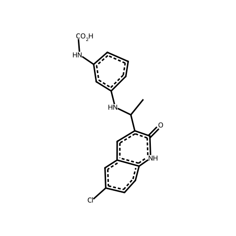 CC(Nc1cccc(NC(=O)O)c1)c1cc2cc(Cl)ccc2[nH]c1=O